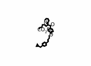 CCOC(=O)CCCc1cc(C(=O)c2ccc(OCCC=Cc3ccc(CC4CC4)cc3)cc2)c2ccccn12